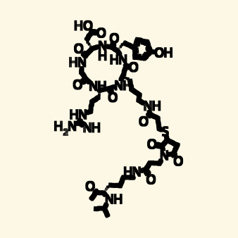 CC(=O)[C@H](CCCCNC(=O)CCN1C(=O)CC(SCCC(=O)NCCCC[C@@H]2NC(=O)[C@H](CCCNC(=N)N)NC(=O)CNC(=O)[C@H](CC(=O)O)NC(=O)[C@H](Cc3ccc(O)cc3)NC2=O)C1=O)NC(C)C